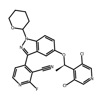 C[C@@H](Oc1ccc2c(c1)c(-c1ccnc(F)c1C#N)nn2C1CCCCO1)c1c(Cl)cncc1Cl